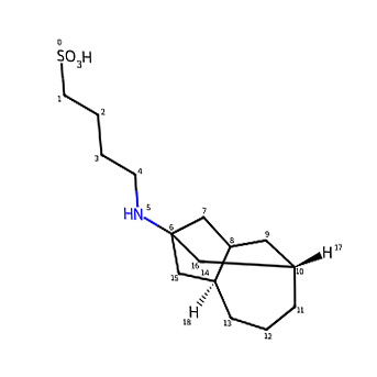 O=S(=O)(O)CCCCNC12CC3C[C@H](CCC[C@H]3C1)C2